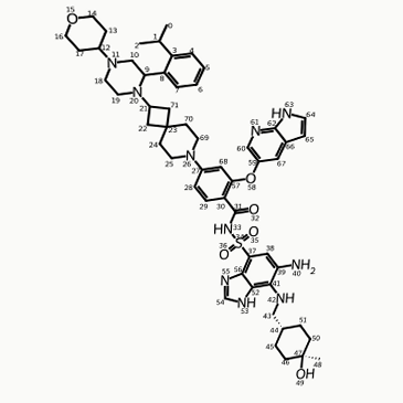 CC(C)c1ccccc1C1CN(C2CCOCC2)CCN1C1CC2(CCN(c3ccc(C(=O)NS(=O)(=O)c4cc(N)c(NC[C@H]5CC[C@](C)(O)CC5)c5[nH]cnc45)c(Oc4cnc5[nH]ccc5c4)c3)CC2)C1